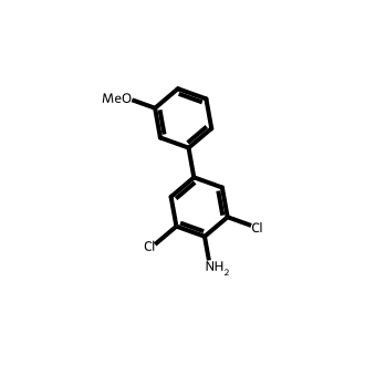 COc1cccc(-c2cc(Cl)c(N)c(Cl)c2)c1